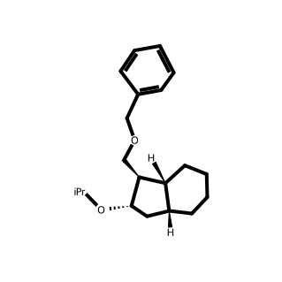 CC(C)O[C@H]1C[C@H]2CCCC[C@H]2[C@@H]1COCc1ccccc1